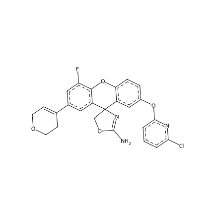 NC1=NC2(CO1)c1cc(Oc3cccc(Cl)n3)ccc1Oc1c(F)cc(C3=CCOCC3)cc12